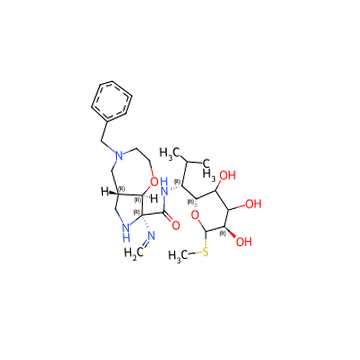 C=N[C@]1(C(=O)N[C@H](C(C)C)[C@H]2OC(SC)[C@H](O)C(O)C2O)NC[C@@H]2CN(Cc3ccccc3)CCO[C@H]21